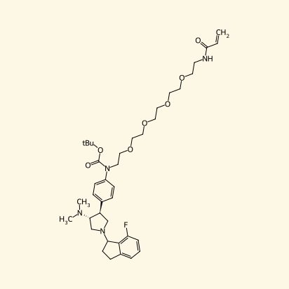 C=CC(=O)NCCOCCOCCOCCOCCN(C(=O)OC(C)(C)C)c1ccc([C@H]2CN(C3CCc4cccc(F)c43)C[C@@H]2N(C)C)cc1